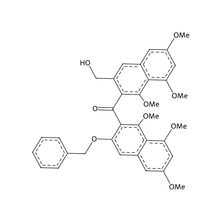 COc1cc(OC)c2c(OC)c(C(=O)c3c(OCc4ccccc4)cc4cc(OC)cc(OC)c4c3OC)c(CO)cc2c1